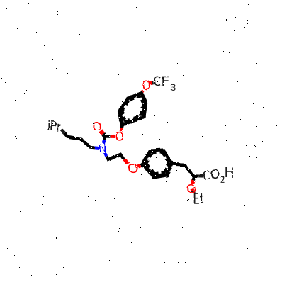 CCOC(Cc1ccc(OCCN(CCCC(C)C)C(=O)Oc2ccc(OC(F)(F)F)cc2)cc1)C(=O)O